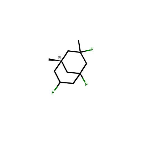 CC1(F)CC2(F)CC(F)C[C@](C)(C1)C2